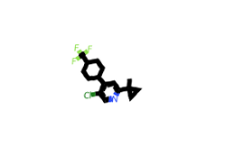 CC1(c2cc(C3CCC(C(F)(F)F)CC3)c(Cl)cn2)CC1